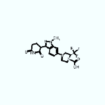 Cn1nc(C2CCC(=O)NC2=O)c2ccc(N3CCN(C(=O)O)[C@@H](C(F)(F)F)C3)cc21